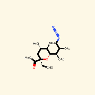 COC(=O)[C@@]1(CC=O)C[C@H](OC(C)=O)[C@@H](NC(C)=O)[C@H]([C@H](OC(C)=O)[C@@H](CN=[N+]=[N-])OC(C)=O)O1